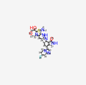 CN(C)Cc1nc(Nc2ccc(-c3cnc4cc(F)ccn34)c3c2C(=O)NC3)ccc1N1CCOC[C@@H](O)C1=S